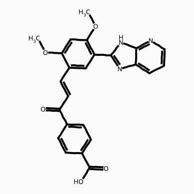 COc1cc(OC)c(-c2nc3cccnc3[nH]2)cc1C=CC(=O)c1ccc(C(=O)O)cc1